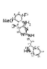 COc1ccc(F)cc1C(=O)c1cnc(NCCc2c[nH]c3ccccc23)nc1N